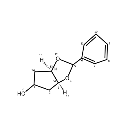 OC1C[C@@H]2OC(c3ccccc3)O[C@@H]2C1